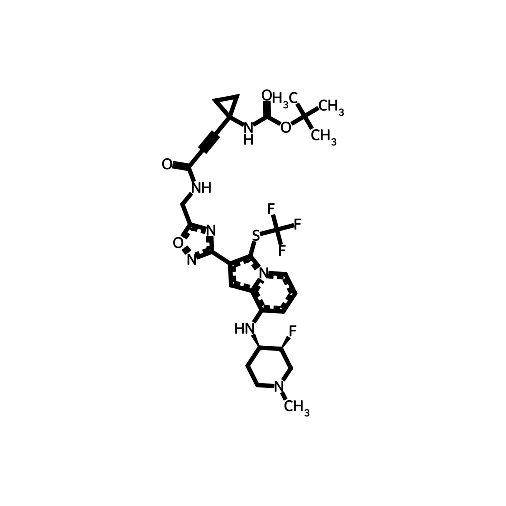 CN1CC[C@@H](Nc2cccn3c(SC(F)(F)F)c(-c4noc(CNC(=O)C#CC5(NC(=O)OC(C)(C)C)CC5)n4)cc23)[C@@H](F)C1